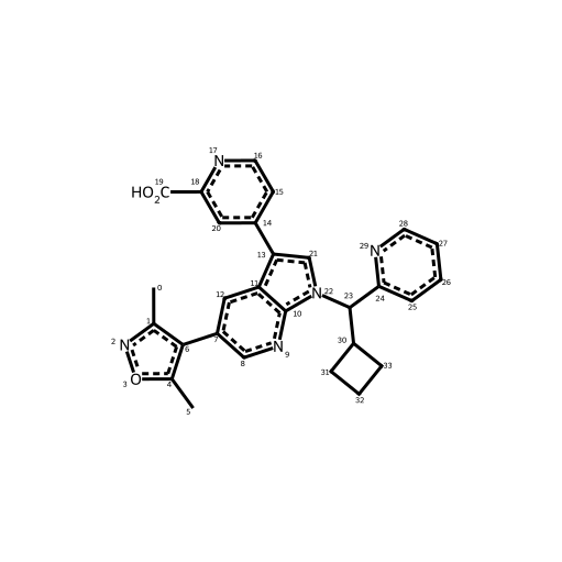 Cc1noc(C)c1-c1cnc2c(c1)c(-c1ccnc(C(=O)O)c1)cn2C(c1ccccn1)C1CCC1